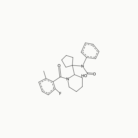 Cc1cccc(F)c1C(=O)N1CCCCC1C1(N(C(=O)O)c2ccccc2)CCCC1